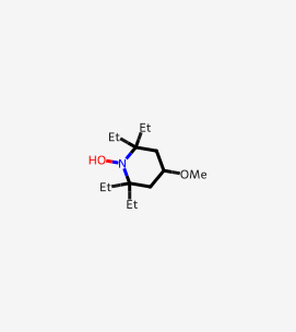 CCC1(CC)CC(OC)CC(CC)(CC)N1O